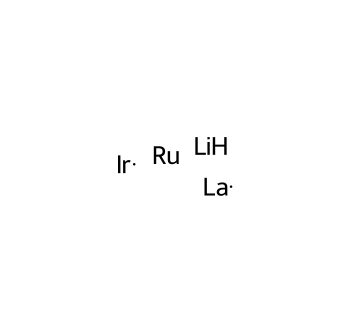 [Ir].[La].[LiH].[Ru]